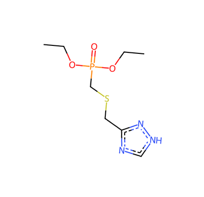 CCOP(=O)(CSCc1nc[nH]n1)OCC